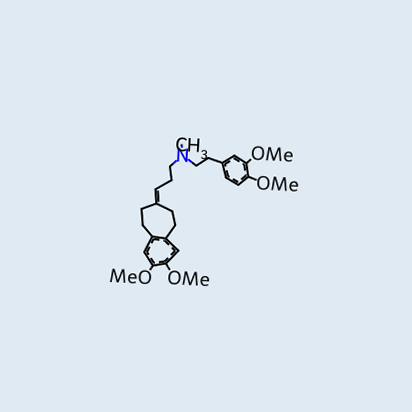 COc1ccc(CCN(C)CCC=C2CCc3cc(OC)c(OC)cc3CC2)cc1OC